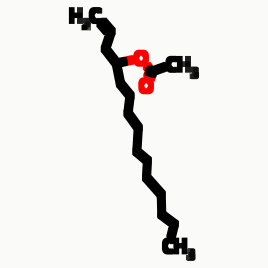 C=CCC(CCCCCCCCCCC)OC(C)=O